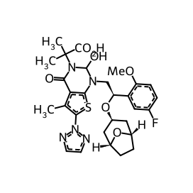 COc1ccc(F)cc1[C@H](CN1c2sc(-n3nccn3)c(C)c2C(=O)N(C(C)(C)C(=O)O)C1O)O[C@@H]1C[C@H]2CC[C@@H](C1)O2